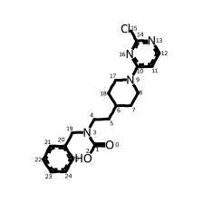 O=C(O)N(CCC1CCN(c2ccnc(Cl)n2)CC1)Cc1ccccc1